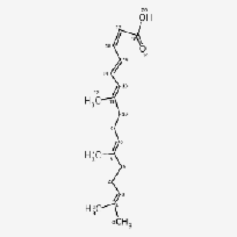 CC(C)=CCC/C(C)=C/CC/C(C)=C/C=C/C=C\C(=O)O